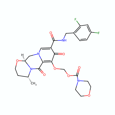 C[C@@H]1CCO[C@H]2Cn3cc(C(=O)NCc4ccc(F)cc4F)c(=O)c(OCOC(=O)N4CCOCC4)c3C(=O)N12